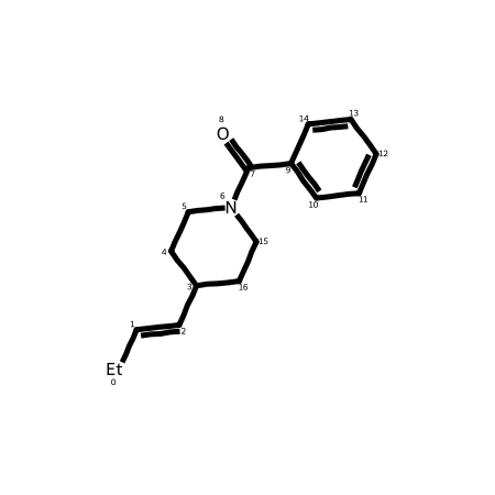 CCC=CC1CCN(C(=O)c2ccccc2)CC1